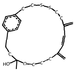 C=C1/C=C\C(=C)CCSSCCc2ccc(cc2)CCC(C)(O)OCCC1